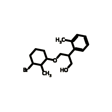 Cc1ccccc1C(CO)COC1CCCC(Br)C1C